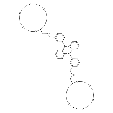 c1cc(CNCC2COCCOCCOCCOCCOCCO2)cc(-c2c3ccccc3c(-c3cccc(CNCC4COCCOCCOCCOCCOCCO4)c3)c3ccccc23)c1